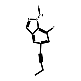 CCC#Cc1cc(F)c2c(cnn2PI)c1